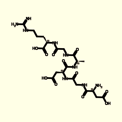 C[C@H](NC(=O)[C@H](CC(=O)O)NC(=O)CNC(=O)[C@@H](N)CC(=O)O)C(=O)NCC(=O)N[C@@H](CCCNC(=N)N)C(=O)O